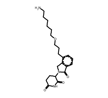 NCCCCCCOCCCc1cccc2c1CN(C1CCC(=O)NC1=O)C2=O